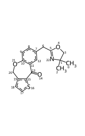 CC1(C)COC(Cc2ccc3c(c2)C(=O)c2sccc2CO3)=N1